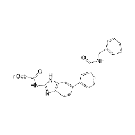 CCCCCCCCC(=O)Nc1nc2ccc(-c3cccc(C(=O)NCc4ccccc4)c3)cc2[nH]1